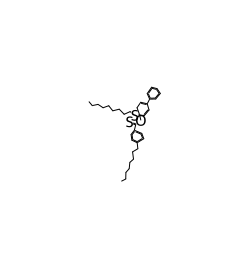 CCCCCCCCCSC1(OC(=S)c2ccc(CCCCCCCC)cc2)C=CC(c2ccccc2)=CC1